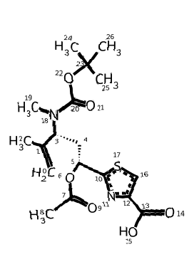 C=C(C)[C@@H](C[C@@H](OC(C)=O)c1nc(C(=O)O)cs1)N(C)C(=O)OC(C)(C)C